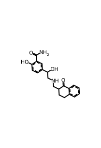 NC(=O)c1cc(C(O)CNCC2CCc3ccccc3C2=O)ccc1O